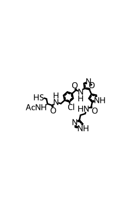 CC(=O)N[C@@H](CS)C(=O)NCc1ccc(C(=O)Nc2cnoc2-c2c[nH]c(C(=O)NCCc3c[nH]cn3)c2)cc1Cl